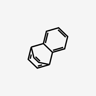 c1ccc2c3ccc(cc3)c2c1